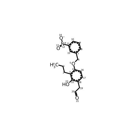 CCCc1c(OCc2cccc([N+](=O)[O-])c2)ccc(CC=O)c1O